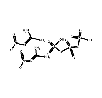 NC(N)=N[N+](=O)[O-].NC(N)=N[N+](=O)[O-].O=S(=O)(O)OS(=O)(=O)OS(=O)(=O)O